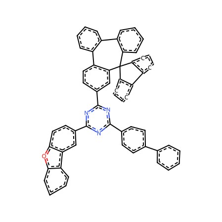 c1ccc(-c2ccc(-c3nc(-c4ccc5c(c4)C4(c6ccccc6-c6ccccc6-5)c5ccccc5-c5ccccc54)nc(-c4ccc5oc6ccccc6c5c4)n3)cc2)cc1